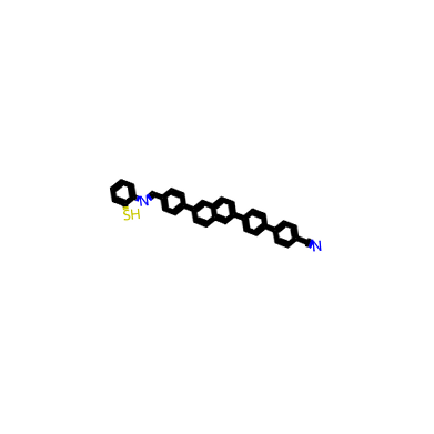 N#Cc1ccc(-c2ccc(-c3ccc4cc(-c5ccc(/C=N/c6ccccc6S)cc5)ccc4c3)cc2)cc1